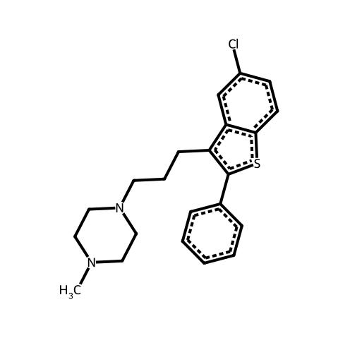 CN1CCN(CCCc2c(-c3ccccc3)sc3ccc(Cl)cc23)CC1